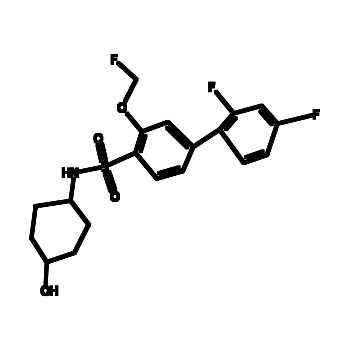 O=S(=O)(NC1CCC(O)CC1)c1ccc(-c2ccc(F)cc2F)cc1OCF